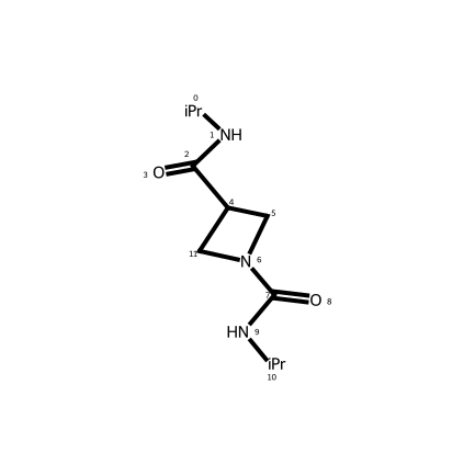 CC(C)NC(=O)C1CN(C(=O)NC(C)C)C1